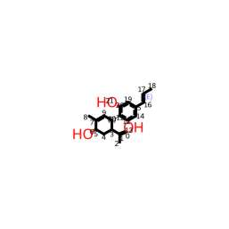 C=C(C)C1CC(O)C(C)=C[C@@H]1c1c(O)cc(/C=C/C)cc1O